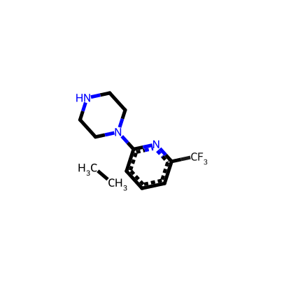 CC.FC(F)(F)c1cccc(N2CCNCC2)n1